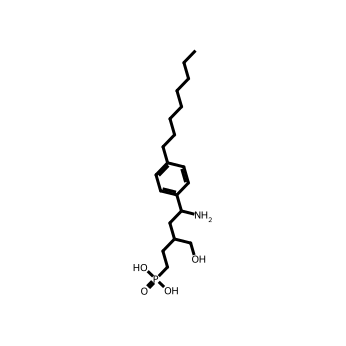 CCCCCCCCc1ccc(C(N)CC(CO)CCP(=O)(O)O)cc1